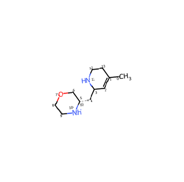 CC1=CC(C[C@H]2COCCN2)NCC1